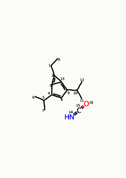 CCc1c2c(C(C)C)cc(C(C)C)c1-2.N=C=O